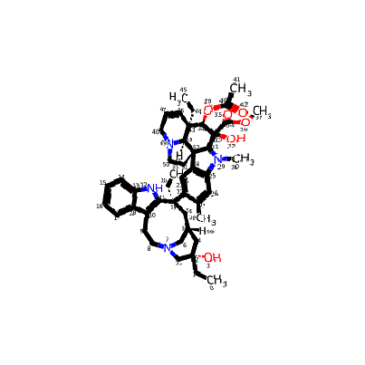 CC[C@]1(O)C[C@@H]2CN(CCc3c([nH]c4ccccc34)[C@@](CC)(c3cc4c(cc3C)N(C)C3C(O)(C(=O)OC)[C@H](OC(C)=O)[C@]5(CC)C=CCN6CC[C@]43[C@@H]65)C2)C1